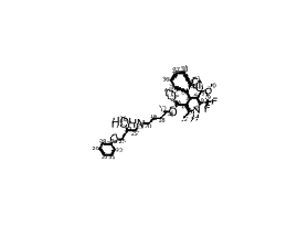 COC(=O)C1=C(C(F)(F)F)NC(C)=C(C(=O)OCCCCNCC(O)COc2ccccc2)C1c1ccccc1Cl